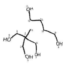 CC(CO)(CO)CO.OCCCCO